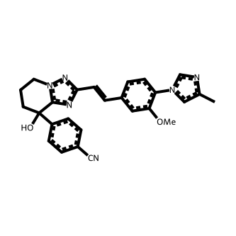 COc1cc(C=Cc2nc3n(n2)CCCC3(O)c2ccc(C#N)cc2)ccc1-n1cnc(C)c1